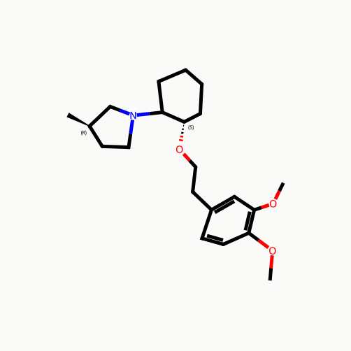 COc1ccc(CCO[C@H]2CCCCC2N2CC[C@@H](C)C2)cc1OC